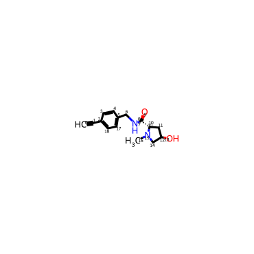 C#Cc1ccc(CNC(=O)[C@@H]2CC(O)CN2C)cc1